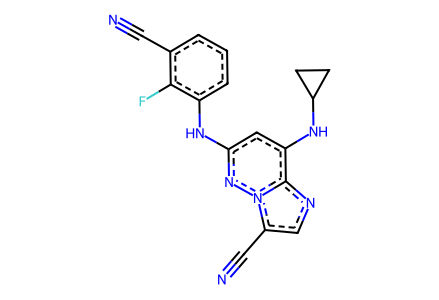 N#Cc1cccc(Nc2cc(NC3CC3)c3ncc(C#N)n3n2)c1F